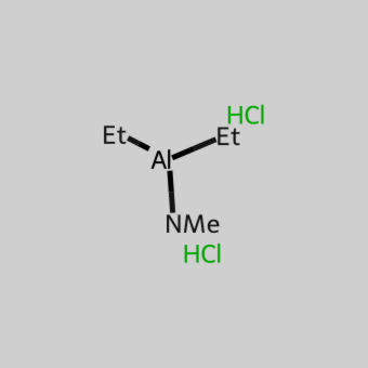 C[CH2][Al]([CH2]C)[NH]C.Cl.Cl